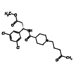 COC(=O)C[C@H](NC(=O)C1CCN(CCCC(C)=O)CC1)c1cc(Cl)cc(Cl)c1